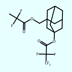 CC(F)(F)C(=O)OCC12CC3CC(C1)CC(OC(=O)C(F)(F)C(F)(F)F)(C3)C2